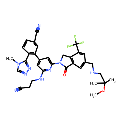 COC(C)(C)CNCc1cc2c(c(C(F)(F)F)c1)CN(c1cc(-c3cc(C#N)ccc3-c3nncn3C)cc(NCCC#N)n1)C2=O